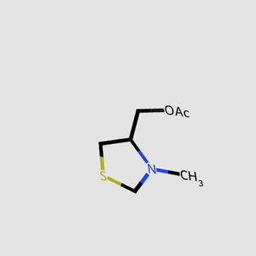 CC(=O)OCC1CSCN1C